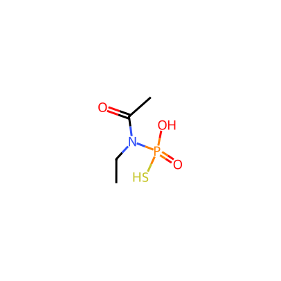 CCN(C(C)=O)P(=O)(O)S